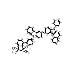 CC1(C)CC(C)(C)c2c(-c3cccc(-n4c5ccccc5c5cc(-c6ccc7c(c6)c6c8ccccc8ccc6n7-c6ccccc6)ccc54)c3)cccc21